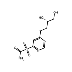 NC(=O)S(=O)(=O)c1cc([CH]C[C@H](O)CO)ccn1